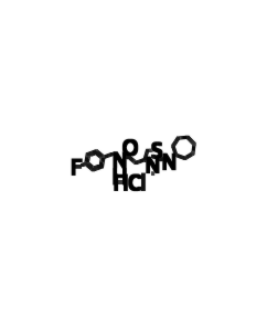 CN1C(=NC2CCCCCC2)SCC1CC(=O)NCc1ccc(F)cc1.Cl